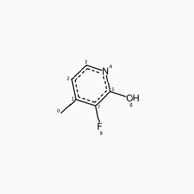 Cc1ccnc(O)c1F